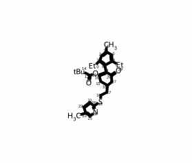 CCc1cc(C)cc(CC)c1C1=C(OC(=O)C(C)(C)C)CC(CCSc2ccc(C)cn2)CC1=O